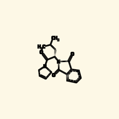 CC(C)C[C@@H](C(=O)N1CC=CC1)N1C(=O)c2ccccc2C1=O